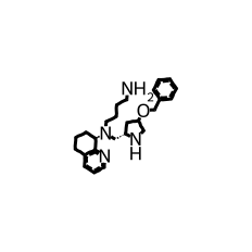 NCCCCN(C[C@@H]1CC(OCc2ccccc2)CN1)[C@H]1CCCc2cccnc21